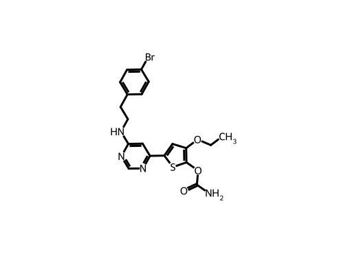 CCOc1cc(-c2cc(NCCc3ccc(Br)cc3)ncn2)sc1OC(N)=O